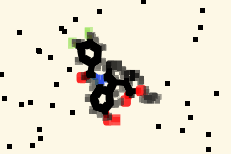 CCCOC(=O)[C@@H](C)c1c(C)n(C(=O)c2ccc(F)c(F)c2)c2ccc(O)cc12